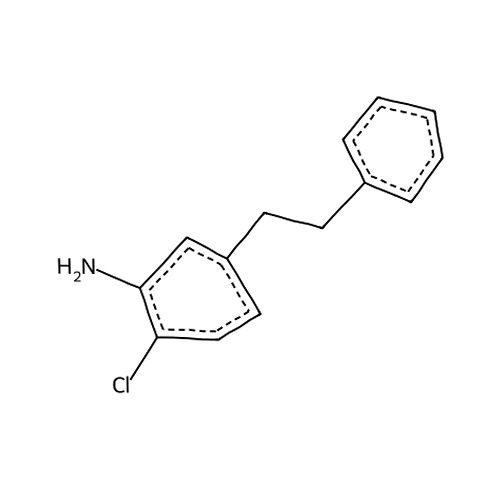 Nc1cc(CCc2ccccc2)ccc1Cl